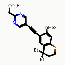 CCCCCCc1cc2c(cc1C#Cc1cnc(CC(=O)OCC)nc1)C(CC)(CC)CCS2